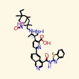 CCC1(C)CC2(C)CC(C)(CN/C(C)=C(\C=N)c3ccc(-c4ccc5cncc(C(=O)Nc6nc7ccccc7s6)c5c4)nc3C(=O)O)C[PH](N=O)(C1)C2